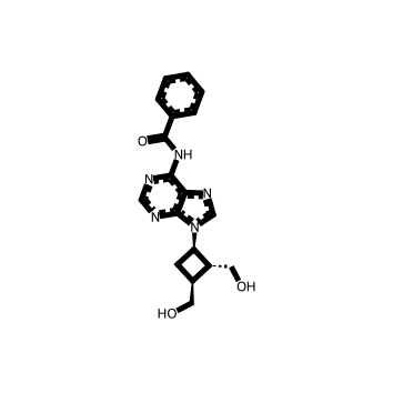 O=C(Nc1ncnc2c1ncn2[C@@H]1C[C@H](CO)[C@H]1CO)c1ccccc1